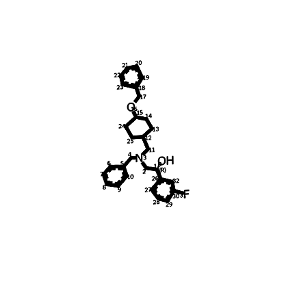 O[C@@H](CN(Cc1ccccc1)CC1CCC(OCc2ccccc2)CC1)c1cccc(F)c1